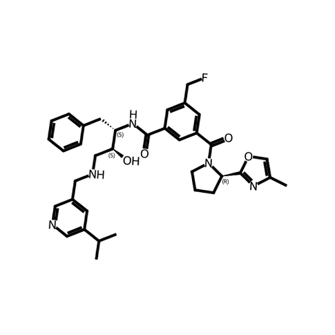 Cc1coc([C@H]2CCCN2C(=O)c2cc(CF)cc(C(=O)N[C@@H](Cc3ccccc3)[C@@H](O)CNCc3cncc(C(C)C)c3)c2)n1